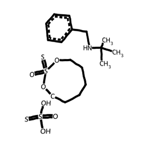 CC(C)(C)NCc1ccccc1.O=S(O)(O)=S.O=S1(=S)OCCCCCCO1